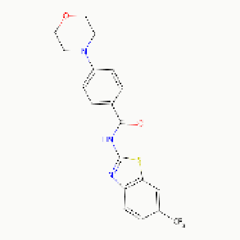 O=C(Nc1nc2ccc(C(F)(F)F)cc2s1)c1ccc(N2CCOCC2)cc1